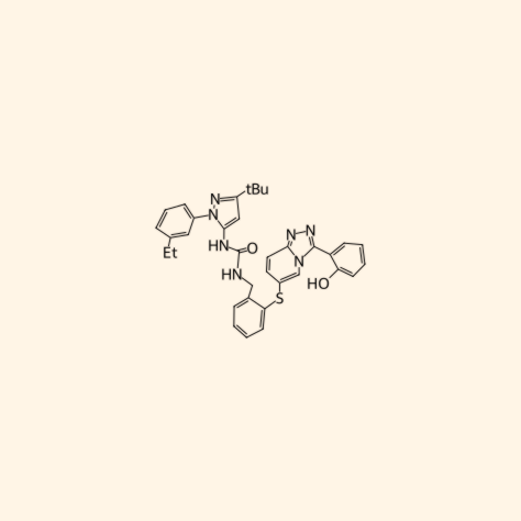 CCc1cccc(-n2nc(C(C)(C)C)cc2NC(=O)NCc2ccccc2Sc2ccc3nnc(-c4ccccc4O)n3c2)c1